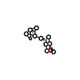 c1ccc(-c2ccc(-c3ccccc3N(c3ccc(-c4ccc5c(c4)-n4c6ccccc6c6cccc(c64)C54c5ccccc5-c5ccccc54)cc3)c3ccc(-c4cccc5c4oc4ccccc45)cc3)cc2)cc1